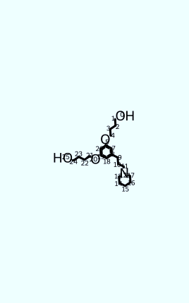 OCCCCOc1cc(CCCN2CCCCC2)cc(OCCCCO)c1